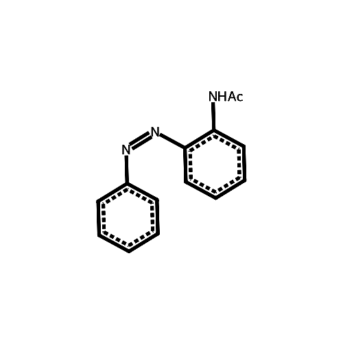 CC(=O)Nc1ccccc1/N=N\c1ccccc1